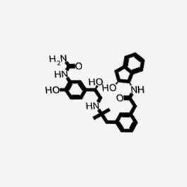 CC(C)(Cc1cccc(CC(=O)N[C@H]2c3ccccc3C[C@H]2O)c1)NC[C@H](O)c1ccc(O)c(NC(N)=O)c1